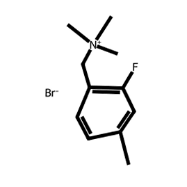 Cc1ccc(C[N+](C)(C)C)c(F)c1.[Br-]